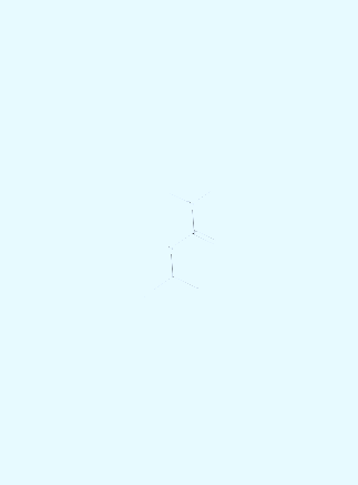 CCN(CC)C(=O)NC(C)I